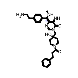 CN/C(=C1/N=CN(CC2(O)CCN(C(=O)CCc3ccccc3)CC2)C(=O)C1=N)c1ccc(CCN)cc1